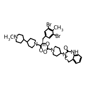 Cc1c(Br)cc(C[C@@H](OC(=O)N2CCC(N3CCc4ccccc4NC3=O)CC2)C(=O)N2CCC(C3CCN(C)CC3)CC2)cc1Br